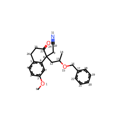 COc1ccc2c(c1)C(CC#N)(CC(C)OCc1ccccc1)C(=O)CC2